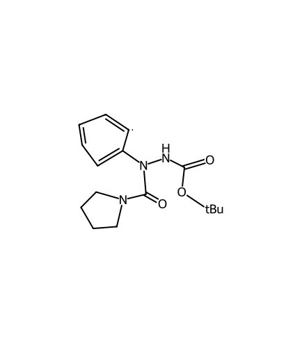 CC(C)(C)OC(=O)NN(C(=O)N1CCCC1)c1[c]cccc1